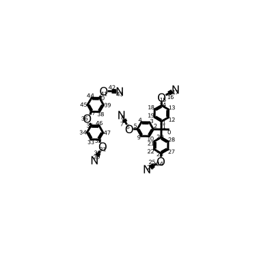 CC(c1ccc(OC#N)cc1)(c1ccc(OC#N)cc1)c1ccc(OC#N)cc1.N#COc1ccc(Oc2ccc(OC#N)cc2)cc1